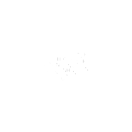 Cc1cc(C(F)(F)F)c(C#N)c(N2CCC[C@H]2C(=O)Nc2nc3ccccc3s2)n1